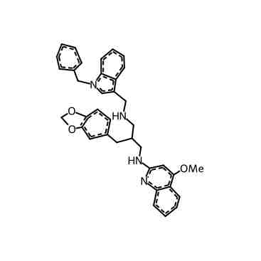 COc1cc(NCC(CNCc2cn(Cc3ccccc3)c3ccccc23)Cc2ccc3c(c2)OCO3)nc2ccccc12